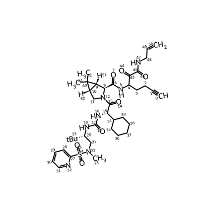 C#CCCC(NC(=O)[C@@H]1[C@@H]2[C@H](CN1C(=O)[C@@H](NC(=O)N[C@H](CN(C)S(=O)(=O)c1ccccn1)C(C)(C)C)C1CCCCC1)C2(C)C)C(=O)C(=O)NCC=C